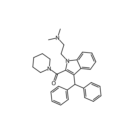 CN(C)CCn1c(C(=O)N2CCCCC2)c(C(c2ccccc2)c2ccccc2)c2ccccc21